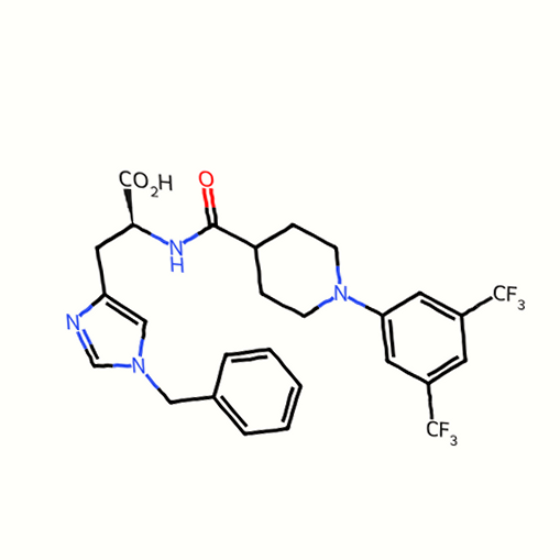 O=C(N[C@@H](Cc1cn(Cc2ccccc2)cn1)C(=O)O)C1CCN(c2cc(C(F)(F)F)cc(C(F)(F)F)c2)CC1